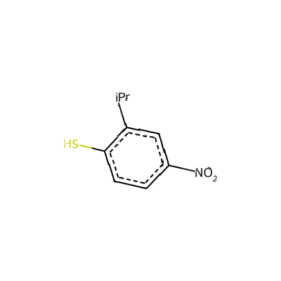 CC(C)c1cc([N+](=O)[O-])ccc1S